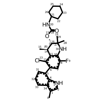 Cc1c[nH]c2c(-c3cc(F)c4c(c3Cl)[C@@H](C)[C@H](OC(=O)NC3CCCCC3)C(C)(C)N4)cccc12